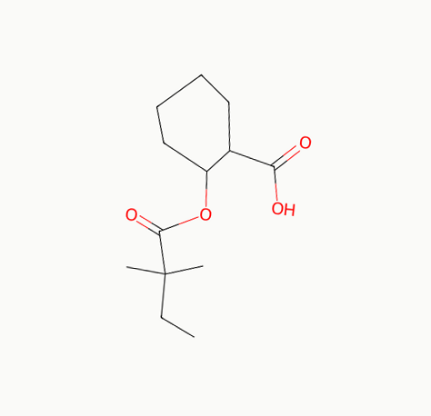 CCC(C)(C)C(=O)OC1CCCCC1C(=O)O